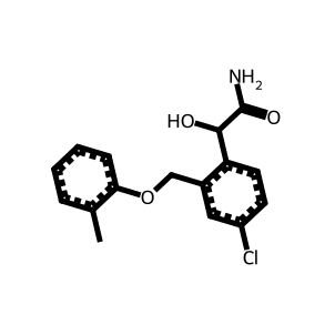 Cc1ccccc1OCc1cc(Cl)ccc1C(O)C(N)=O